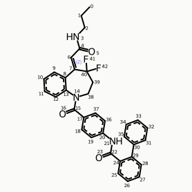 CCCNC(=O)/C=C1/c2ccccc2N(C(=O)c2ccc(NC(=O)c3ccccc3-c3ccccc3)cc2)CCC1(F)F